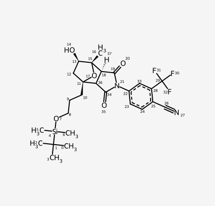 CC(C)(C)[Si](C)(C)OCCC[C@@]12C[C@@H](O)[C@@](C)(O1)[C@H]1C(=O)N(c3ccc(C#N)c(C(F)(F)F)c3)C(=O)C12